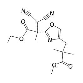 CCOC(=O)C(C)(c1nc(CC(C)(C)C(=O)OC)co1)C(C#N)C#N